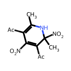 CC(=O)C1=C(C)NC(C)([N+](=O)[O-])C(C(C)=O)=C1[N+](=O)[O-]